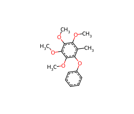 COc1c(C)c(Oc2ccccc2)c(OC)c(OC)c1OC